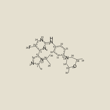 Cc1ncc(-c2nc(Nc3ccc(N4CC(C)OC(C)C4)cc3)ncc2F)n1C(C)C